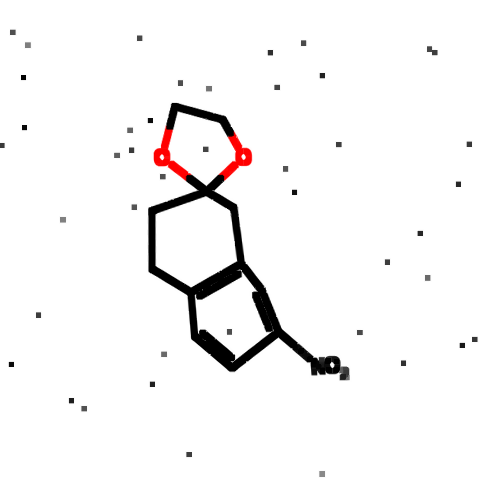 O=[N+]([O-])c1ccc2c(c1)CC1(CC2)OCCO1